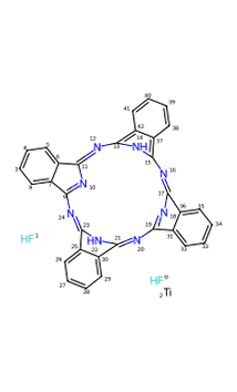 F.F.[Ti].c1ccc2c(c1)-c1nc-2nc2[nH]c(nc3nc(nc4[nH]c(n1)c1ccccc41)-c1ccccc1-3)c1ccccc21